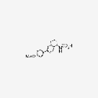 COc1ccc(-c2ccc3c(c2)CCCC3NC(=O)O)cc1